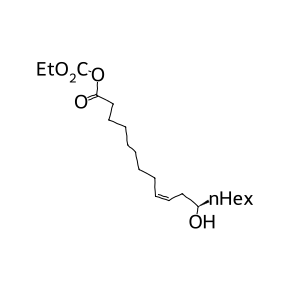 CCCCCC[C@@H](O)C/C=C\CCCCCCCC(=O)OC(=O)OCC